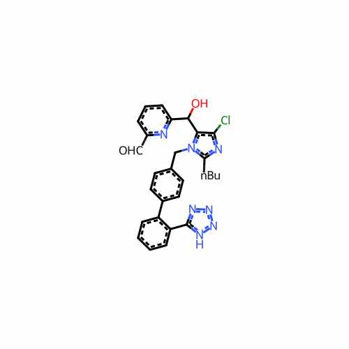 CCCCc1nc(Cl)c(C(O)c2cccc(C=O)n2)n1Cc1ccc(-c2ccccc2-c2nnn[nH]2)cc1